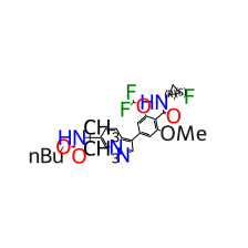 CCCCOC(=O)NC(C)(C)c1ccc2c(-c3cc(OC)c(C(=O)N[C@@H]4C[C@@H]4F)c(OC(F)F)c3)cnn2c1